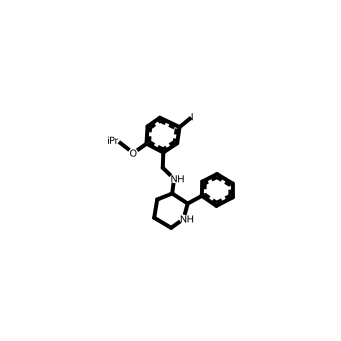 CC(C)Oc1ccc(I)cc1CNC1CCCNC1c1ccccc1